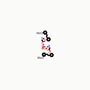 COc1cccc(CCc2ccccc2OC[C@H](CN(C)C)OCOP(C)(=O)OCO[C@H](COc2ccccc2CCc2cccc(OC)c2)CN(C)C)c1